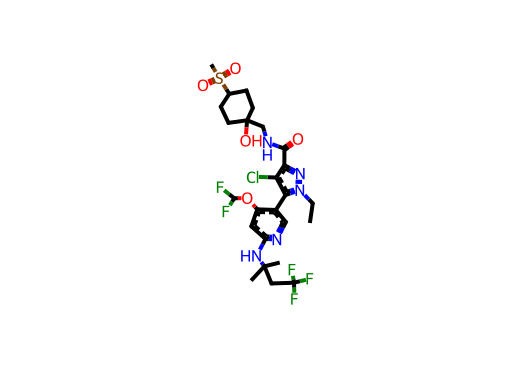 CCn1nc(C(=O)NCC2(O)CCC(S(C)(=O)=O)CC2)c(Cl)c1-c1cnc(NC(C)(C)CC(F)(F)F)cc1OC(F)F